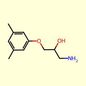 Cc1cc(C)cc(OCC(O)CN)c1